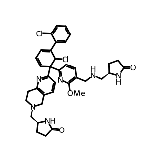 COc1nc(C2(c3ccc4c(n3)CCN(C[C@@H]3CCC(=O)N3)C4)C=CC=C(c3ccccc3Cl)C2Cl)ccc1CNC[C@H]1CCC(=O)N1